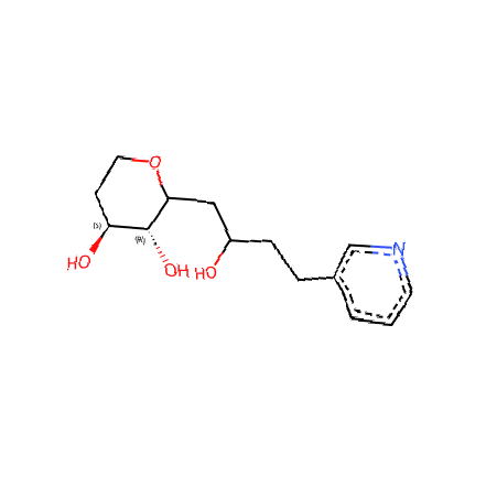 OC(CCc1cccnc1)CC1OCC[C@H](O)[C@H]1O